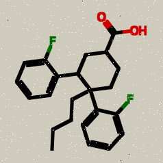 CCCCC1(c2ccccc2F)CCC(C(=O)O)CC1c1ccccc1F